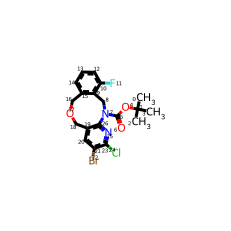 CC(C)(C)OC(=O)N1Cc2c(F)cccc2COCc2cc(Br)c(Cl)nc21